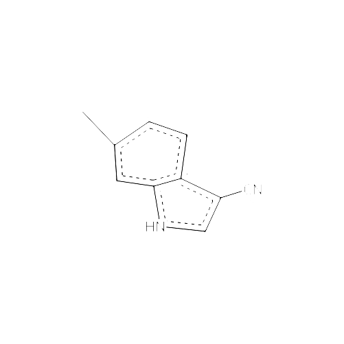 Cc1ccc2c(C#N)c[nH]c2c1